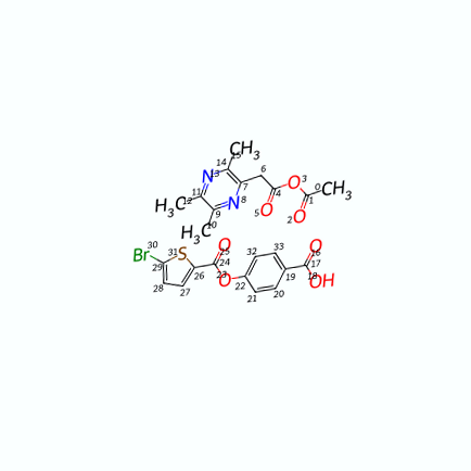 CC(=O)OC(=O)Cc1nc(C)c(C)nc1C.O=C(O)c1ccc(OC(=O)c2ccc(Br)s2)cc1